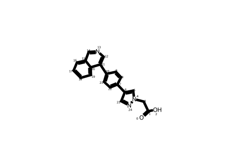 O=C(O)Cn1cc(-c2ccc(-c3cncc4ccccc34)cc2)cn1